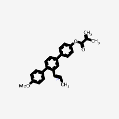 C=C(C)C(=O)Oc1ccc(-c2ccc(-c3ccc(OC)cc3)c(/C=C/C)c2)cc1